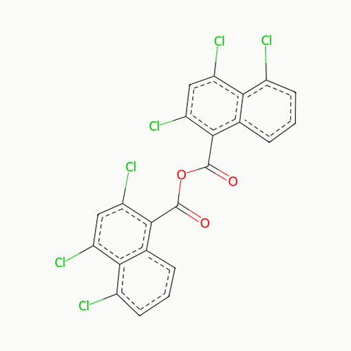 O=C(OC(=O)c1c(Cl)cc(Cl)c2c(Cl)cccc12)c1c(Cl)cc(Cl)c2c(Cl)cccc12